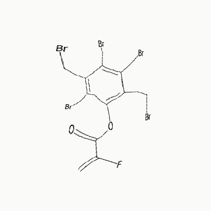 C=C(F)C(=O)Oc1c(Br)c(CBr)c(Br)c(Br)c1CBr